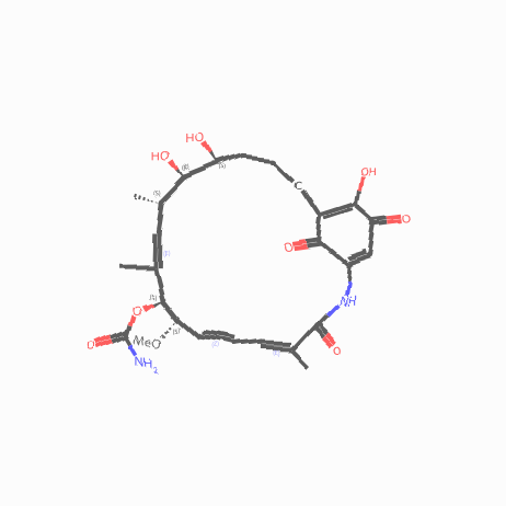 CO[C@H]1/C=C\C=C(/C)C(=O)NC2=CC(=O)C(O)=C(CCC[C@H](O)[C@H](O)[C@@H](C)/C=C(\C)[C@@H]1OC(N)=O)C2=O